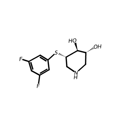 O[C@H]1[C@H](O)CNC[C@@H]1Sc1cc(F)cc(F)c1